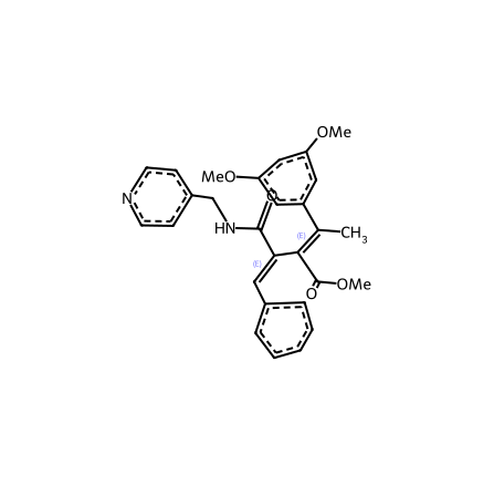 COC(=O)C(/C(=C\c1ccccc1)C(=O)NCc1ccncc1)=C(\C)c1cc(OC)cc(OC)c1